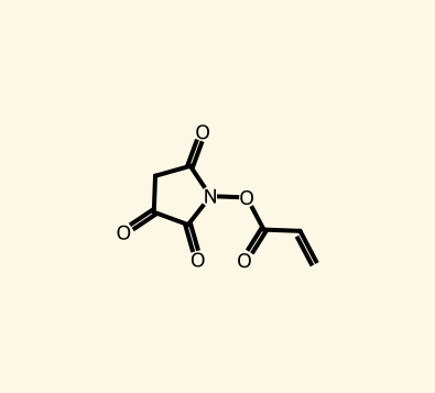 C=CC(=O)ON1C(=O)CC(=O)C1=O